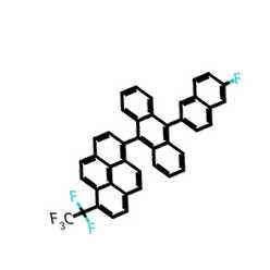 Fc1ccc2cc(-c3c4ccccc4c(-c4ccc5ccc6c(C(F)(F)C(F)(F)F)ccc7ccc4c5c76)c4ccccc34)ccc2c1